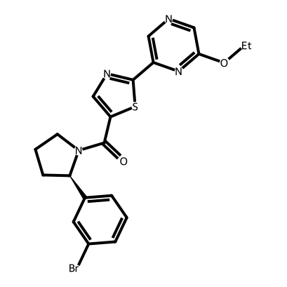 CCOc1cncc(-c2ncc(C(=O)N3CCC[C@@H]3c3cccc(Br)c3)s2)n1